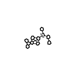 c1ccc(-c2cccc(-c3cc(-c4ccccc4)nc(-c4ccc5c(c4)-c4ccccc4C54c5ccccc5-c5cc6c7ccccc7c7ccccc7c6cc54)n3)c2)cc1